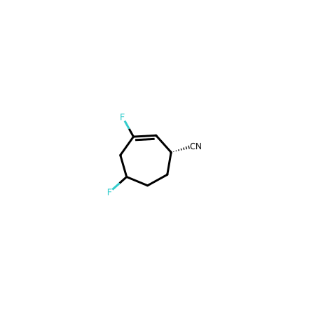 N#C[C@H]1C=C(F)CC(F)CC1